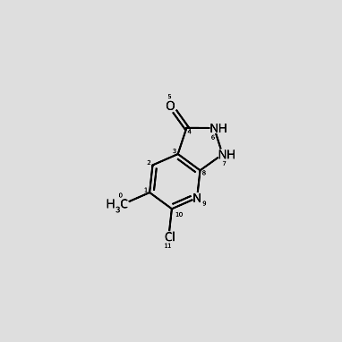 Cc1cc2c(=O)[nH][nH]c2nc1Cl